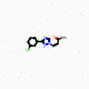 CC(C)(C)C(=O)/C=C\n1cnc(-c2cccc(Cl)c2)n1